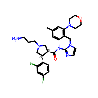 Cc1ccc(Cn2ccnc2NC(=O)[C@@H]2CN(CCCN)C[C@H]2c2ccc(F)cc2F)c(N2CCOCC2)c1